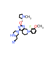 COc1cccc(N2CCCc3c(nc(OC[C@@H]4CCCN4C)nc3N3CCNC(CC#N)C3)C2)c1F